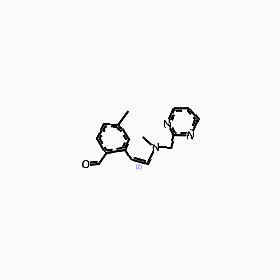 Cc1ccc(C=O)c(/C=C\N(C)Cc2ncccn2)c1